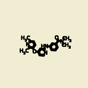 Cc1ccc(Oc2ccnc(Nc3cccc(C(=O)N(C)C)c3)c2)c(C)n1